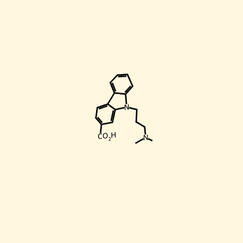 CN(C)CCCn1c2ccccc2c2ccc(C(=O)O)cc21